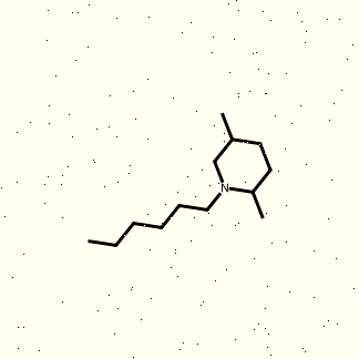 CCCCCCN1CC(C)CCC1C